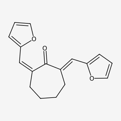 O=C1C(=Cc2ccco2)CCCCC1=Cc1ccco1